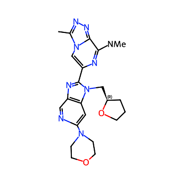 CNc1nc(-c2nc3cnc(N4CCOCC4)cc3n2C[C@H]2CCCO2)cn2c(C)nnc12